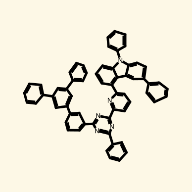 c1ccc(-c2cc(-c3ccccc3)cc(-c3cccc(-c4nc(-c5ccccc5)nc(-c5cccc(-c6cccc7c6c6cc(-c8ccccc8)ccc6n7-c6ccccc6)n5)n4)c3)c2)cc1